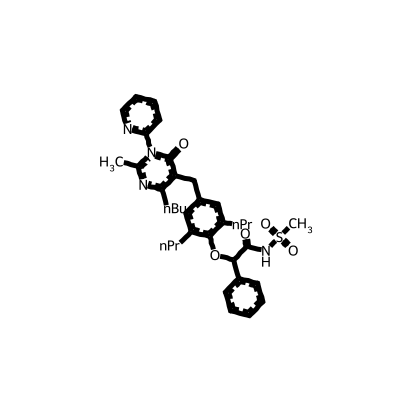 CCCCc1nc(C)n(-c2ccccn2)c(=O)c1Cc1cc(CCC)c(OC(C(=O)NS(C)(=O)=O)c2ccccc2)c(CCC)c1